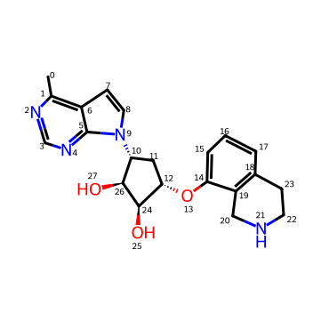 Cc1ncnc2c1ccn2[C@@H]1C[C@H](Oc2cccc3c2CNCC3)[C@@H](O)[C@H]1O